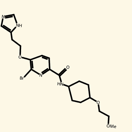 COCCOC1CCC(NC(=O)c2ccc(OCCc3cnc[nH]3)c(Br)n2)CC1